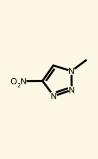 Cn1cc([N+](=O)[O-])nn1